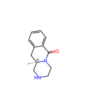 C[C@@]12CNCCN1C(=O)c1ccccc1C2